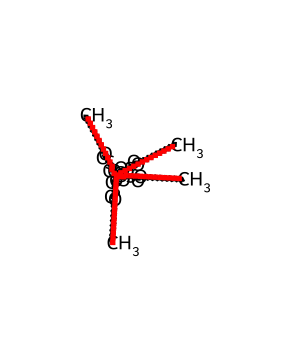 CCCCCCCCCCCCCCCCCCOC(=O)CCSCCC(=O)OCC(COC(=O)CCSCCC(=O)OCCCCCCCCCCCCCCCCCC)(COC(=O)CCSCCC(=O)OCCCCCCCCCCCCCCCCCC)COC(=O)CCSCCC(=O)OCCCCCCCCCCCCCCCCCC